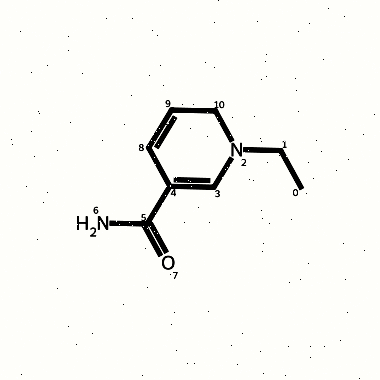 CCN1C=C(C(N)=O)C=CC1